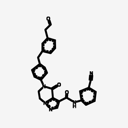 N#Cc1cccc(NC(=O)c2cnn3c2C(=O)N(c2ccc(Cc4cccc(CC=O)c4)cc2)CC3)c1